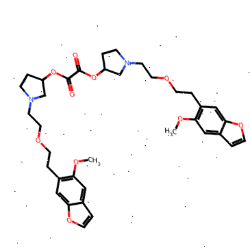 COc1cc2ccoc2cc1CCOCCN1CCC(OC(=O)C(=O)OC2CCN(CCOCCc3cc4occc4cc3OC)C2)C1